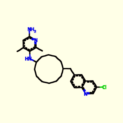 Cc1cc(N)nc(C)c1NC1CCCCCCC(Cc2ccc3ncc(Cl)cc3c2)CCCC1